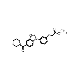 COC(=O)CCc1cccc(N2COc3cc(C(=O)N4CCCCC4)ccc32)c1